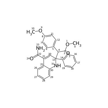 COC(=O)C(c1ccc(OC)cc1)C1(c2ccccc2)C=C(C(N)=O)c2ccccc2N1